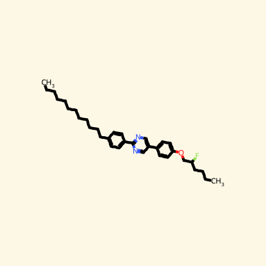 CCCCCCCCCCCCc1ccc(-c2ncc(-c3ccc(OCC(F)CCCC)cc3)cn2)cc1